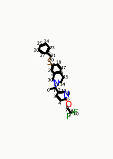 CC(c1ccc(OCC(F)F)nc1)N1CCc2ccc(SCc3ccccc3)cc2C1